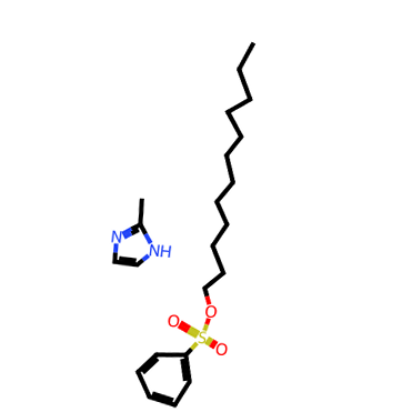 CCCCCCCCCCCCOS(=O)(=O)c1ccccc1.Cc1ncc[nH]1